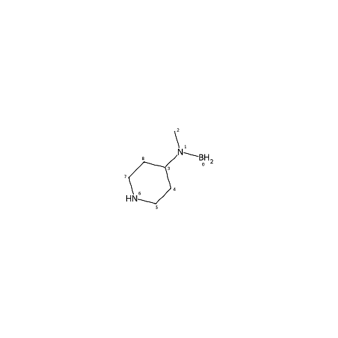 BN(C)C1CCNCC1